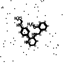 CCNc1ccc(C2NCCCC2NCc2ccccc2OC)cc1